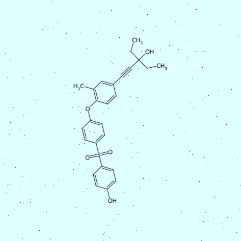 CCC(O)(C#Cc1ccc(Oc2ccc(S(=O)(=O)c3ccc(O)cc3)cc2)c(C)c1)CC